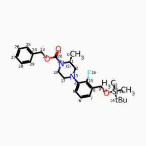 C[C@H]1CN(c2cccc(CO[Si](C)(C)C(C)(C)C)c2F)CCN1C(=O)OCc1ccccc1